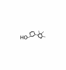 Cc1ccc(-c2cccc(CO)c2)c(C)c1C